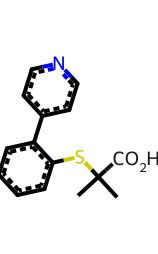 CC(C)(Sc1ccccc1-c1ccncc1)C(=O)O